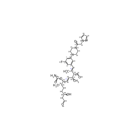 C/C(=C\c1cc(F)cc(N2CCN(C(=O)Cn3cccn3)CC2)c1)[C@@H](C=O)[C@@H](C)/C=C/[C@H](OC(N)=O)[C@@H](C)CC[C@@H](O)CC=O